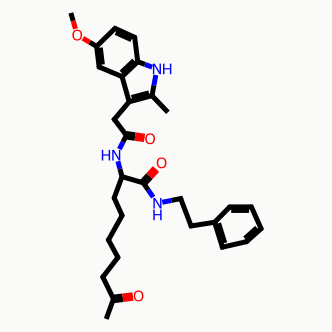 COc1ccc2[nH]c(C)c(CC(=O)NC(CCCCCC(C)=O)C(=O)NCCc3ccccc3)c2c1